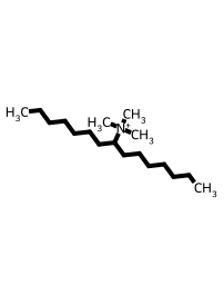 CCCCCCCC(CCCCCCC)[N+](C)(C)C